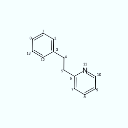 c1ccc(CCc2ccccn2)cc1